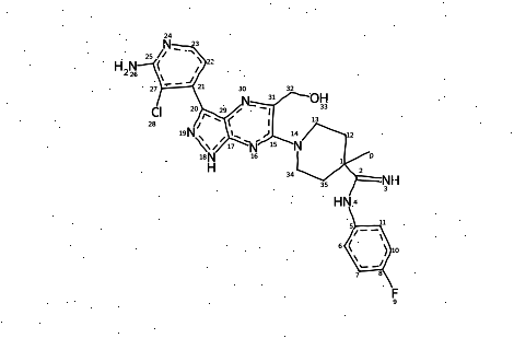 CC1(C(=N)Nc2ccc(F)cc2)CCN(c2nc3[nH]nc(-c4ccnc(N)c4Cl)c3nc2CO)CC1